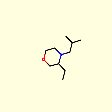 CCC1COCCN1CC(C)C